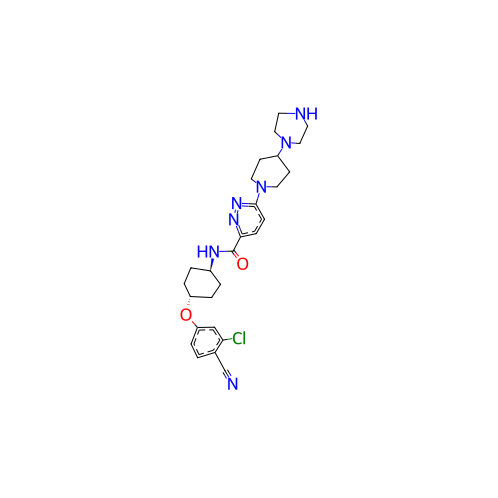 N#Cc1ccc(O[C@H]2CC[C@H](NC(=O)c3ccc(N4CCC(N5CCNCC5)CC4)nn3)CC2)cc1Cl